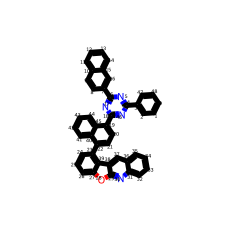 c1ccc(-c2nc(-c3ccc4ccccc4c3)nc(-c3ccc(-c4cccc5oc6nc7ccccc7cc6c45)c4ccccc34)n2)cc1